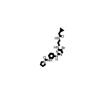 O=C(CC1CC1)NCCCNc1nc(Nc2cccc(NC(=O)N3CCCC3)c2)ncc1Br